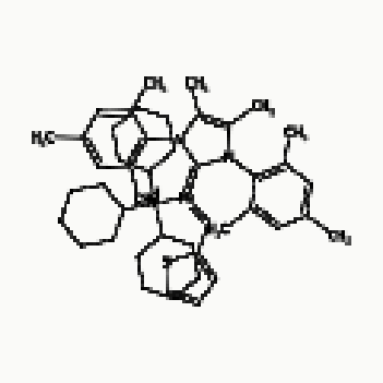 Cc1cc(C)c(-n2c(C)c(C)n(-c3c(C)cc(C)cc3C)[c]2=[Ru](=[CH]/c2cccs2)/[PH](C2CCCCC2)(C2CCCCC2)C2CCCCC2)c(C)c1